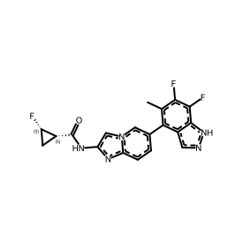 Cc1c(F)c(F)c2[nH]ncc2c1-c1ccc2nc(NC(=O)[C@@H]3C[C@@H]3F)cn2c1